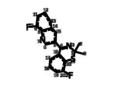 CC1(C)N=C(c2cnc3c(F)cccc3c2)c2cccc(F)c2S1